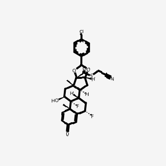 C[C@]12C=CC(=O)C=C1[C@@H](F)C[C@H]1[C@@H]3C[C@H]4OC(c5ccc(Cl)cc5)O[C@@]4(C(=O)SCC#N)[C@@]3(C)C[C@H](O)[C@@]12F